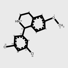 COc1ccc2c(c1)CCNC2c1cc(Cl)cc(Cl)c1